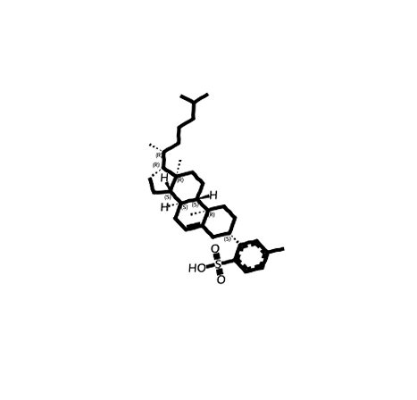 Cc1ccc(S(=O)(=O)O)c([C@H]2CC[C@@]3(C)C(=CC[C@H]4[C@@H]5CC[C@H]([C@H](C)CCCC(C)C)[C@@]5(C)CC[C@@H]43)C2)c1